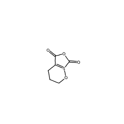 O=C1OC(=O)S2=C1CCCO2